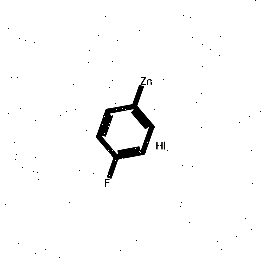 Fc1cc[c]([Zn])cc1.I